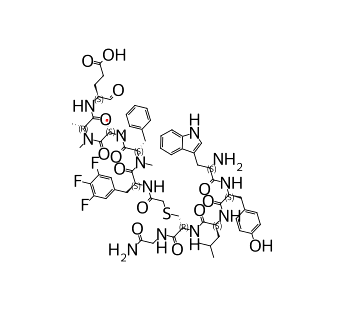 CC(C)C[C@H](NC(=O)[C@H](Cc1ccc(O)cc1)NC(=O)[C@@H](N)Cc1c[nH]c2ccccc12)C(=O)N[C@@H](CSCC(=O)N[C@@H](Cc1cc(F)c(F)c(F)c1)C(=O)N(C)[C@@H](Cc1ccccc1)C(=O)N(C)[C@@H](C)C(=O)N(C)[C@H](C)C(=O)N[C@H](C=O)CCC(=O)O)C(=O)NCC(N)=O